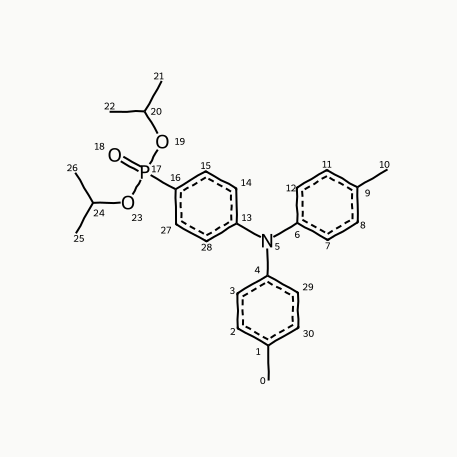 Cc1ccc(N(c2ccc(C)cc2)c2ccc(P(=O)(OC(C)C)OC(C)C)cc2)cc1